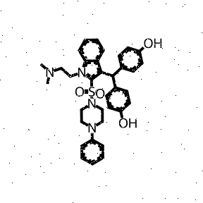 CN(C)CCn1c(S(=O)(=O)N2CCN(c3ccccc3)CC2)c(C(c2ccc(O)cc2)c2ccc(O)cc2)c2ccccc21